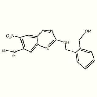 CCNc1cc2nc(NCc3ccccc3CO)ncc2cc1[N+](=O)[O-]